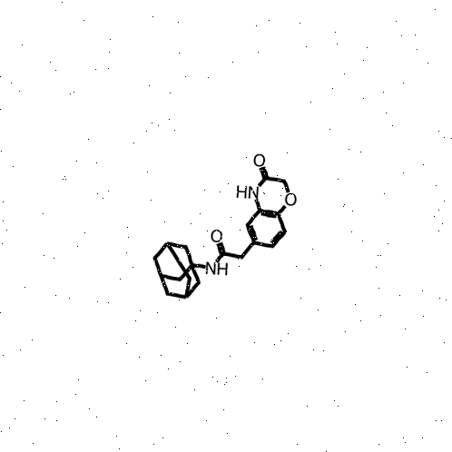 O=C1COc2ccc(CC(=O)NC34CC5CC(CC(C5)C3)C4)cc2N1